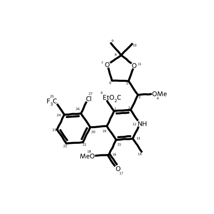 CCOC(=O)C1=C(C(OC)C2COC(C)(C)O2)NC(C)=C(C(=O)OC)C1c1cccc(C(F)(F)F)c1Cl